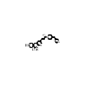 O=C(C=Cc1cnc2c(c1)CC1(CCNCC1)C(=O)N2)N1CCC(=Cc2cscn2)CC1